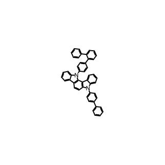 c1ccc(-c2ccc(-n3c4ccccc4c4c3ccc3c5ccccc5n(-c5ccc(-c6ccccc6-c6ccccc6)cc5)c34)cc2)cc1